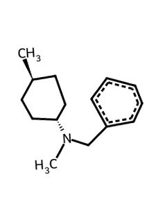 CN(Cc1ccccc1)[C@H]1CC[C@H](C)CC1